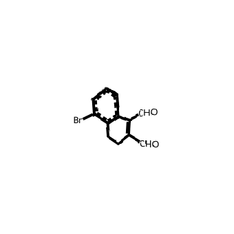 O=CC1=C(C=O)c2cccc(Br)c2CC1